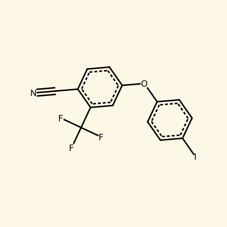 N#Cc1ccc(Oc2ccc(I)cc2)cc1C(F)(F)F